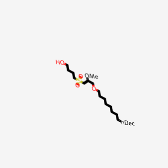 CCCCCCCCCCCCCCCCCCOCC(CS(=O)(=O)CCCCO)OC